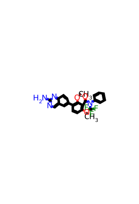 COc1ccc(-c2ccc3nc(N)ncc3c2)c(OC)c1C(=O)N(c1ccccc1)C(F)(F)F